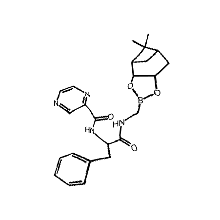 CC1(C)C2CC3OB(CNC(=O)C(Cc4ccccc4)NC(=O)c4cnccn4)OC3C1C2